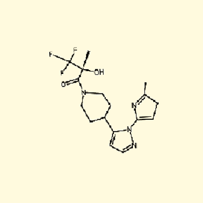 CC1=NC(n2nccc2C2CCN(C(=O)[C@@](C)(O)C(F)(F)F)CC2)=CC1